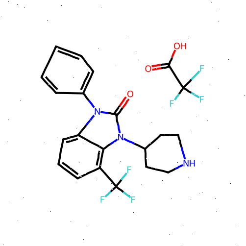 O=C(O)C(F)(F)F.O=c1n(-c2ccccc2)c2cccc(C(F)(F)F)c2n1C1CCNCC1